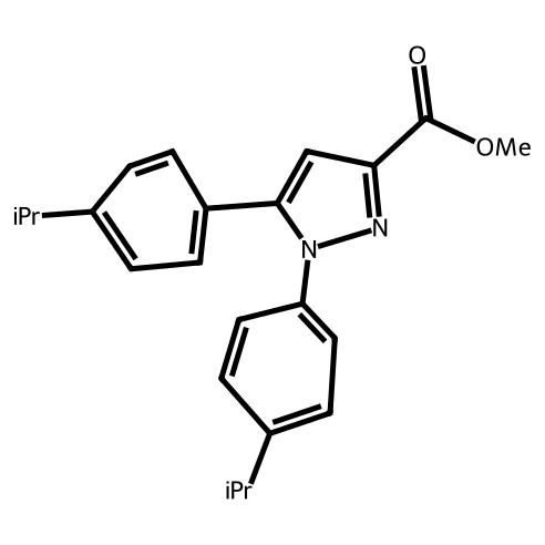 COC(=O)c1cc(-c2ccc(C(C)C)cc2)n(-c2ccc(C(C)C)cc2)n1